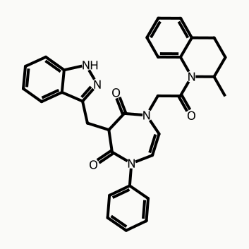 CC1CCc2ccccc2N1C(=O)CN1C=CN(c2ccccc2)C(=O)C(Cc2n[nH]c3ccccc23)C1=O